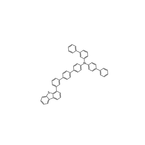 c1ccc(-c2ccc(N(c3ccc(-c4ccc(-c5cccc(-c6cccc7c6sc6ccccc67)c5)cc4)cc3)c3cccc(-c4ccccc4)c3)cc2)cc1